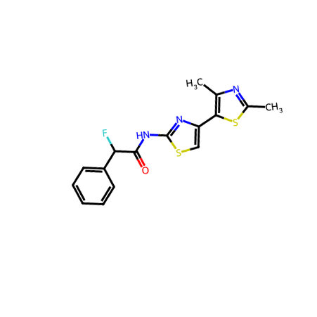 Cc1nc(C)c(-c2csc(NC(=O)C(F)c3ccccc3)n2)s1